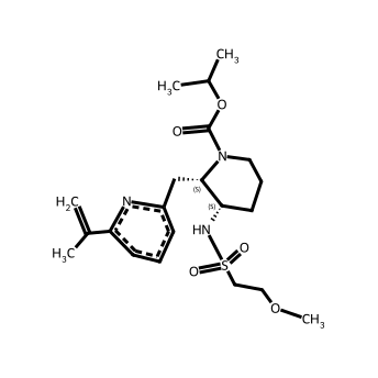 C=C(C)c1cccc(C[C@H]2[C@@H](NS(=O)(=O)CCOC)CCCN2C(=O)OC(C)C)n1